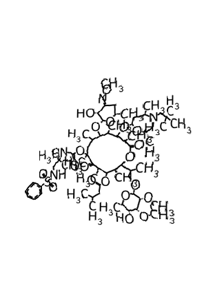 CON=C1C[C@@H](C)O[C@@H](OC2C(C)CC(C)(OC(=O)NC(C)(C)CNS(=O)(=O)c3ccccc3)C(=O)C(C)C(OC(=O)CC(C)C)C(C)C(C(C)CO[C@@H]3O[C@H](C)[C@@H](O)[C@@H](OC)[C@H]3OC)OC(=O)C(C)C(O[C@H]3C[C@@H](C)N(CC(C)(C)C)C[C@H](C)O3)C2C)[C@@H]1O